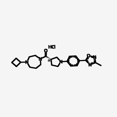 Cc1noc(-c2ccc(N3CC[C@H](C(=O)N4CCCN(C5CCC5)CC4)C3)cc2)n1.Cl